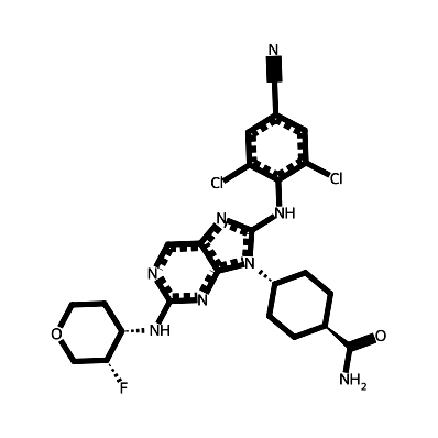 N#Cc1cc(Cl)c(Nc2nc3cnc(N[C@H]4CCOC[C@H]4F)nc3n2[C@H]2CC[C@H](C(N)=O)CC2)c(Cl)c1